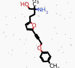 Cc1ccc(OCC#Cc2ccc(CCC(C)(N)CO)o2)cc1